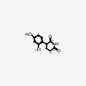 CCc1cc(O)ccc1C1CCC(=O)NC1=O